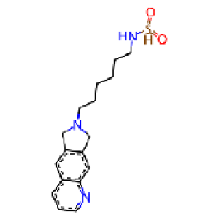 O=[SH](=O)NCCCCCCN1Cc2cc3cccnc3cc2C1